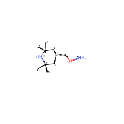 CC1(C)CC(CON)CC(C)(C)N1